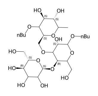 CCCCOC1OC(CO)[C@@H](O[C@@H]2O[C@@H](CO)[C@H](O)C(O)C2O)C(OC[C@@H]2OC(C)[C@@H](O)[C@H](O)C2OCCCC)[C@@H]1O